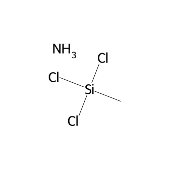 C[Si](Cl)(Cl)Cl.N